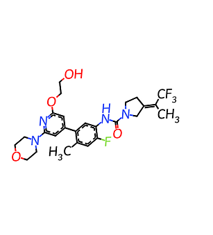 C/C(=C1/CCN(C(=O)Nc2cc(-c3cc(OCCO)nc(N4CCOCC4)c3)c(C)cc2F)C1)C(F)(F)F